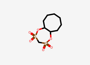 O=S1(=O)CS(=O)(=O)OC2CCCCCCC2O1